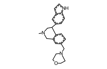 CN1Cc2cc(CN3CCOCC3)ccc2C(c2ccc3[nH]ccc3c2)C1